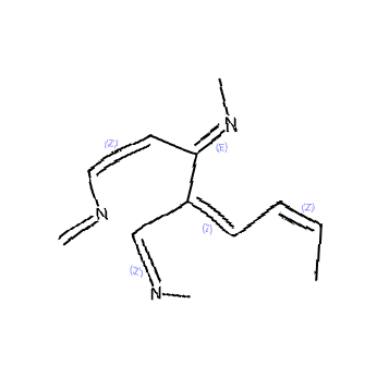 C=N\C=C/C(=N\C)C(/C=N\C)=C\C=C/C